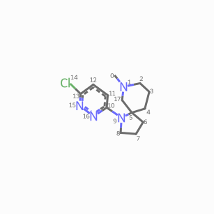 CN1CCCC2(CCCN2c2ccc(Cl)nn2)C1